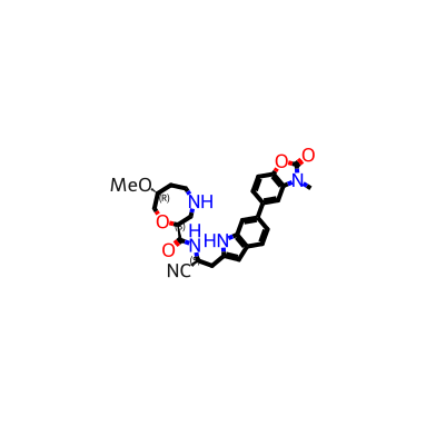 CO[C@@H]1CCNC[C@@H](C(=O)N[C@H](C#N)Cc2cc3ccc(-c4ccc5oc(=O)n(C)c5c4)cc3[nH]2)OC1